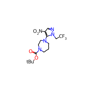 CC(C)(C)OC(=O)N1CCCN(c2c([N+](=O)[O-])cnn2CC(F)(F)F)CC1